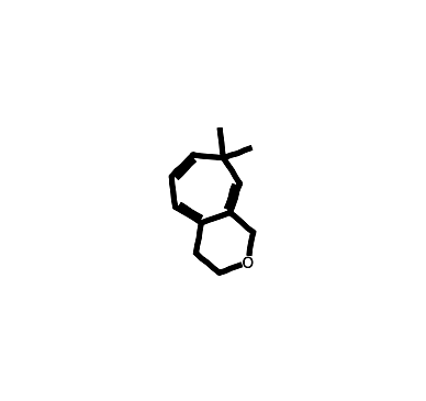 CC1(C)C=CC=C2CCOCC2=C1